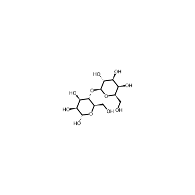 OC[C@H]1O[C@@H](O[C@H]2[C@H](O)[C@H](O)[C@@H](O)O[C@@H]2CO)[C@H](O)[C@@H](O)[C@H]1O